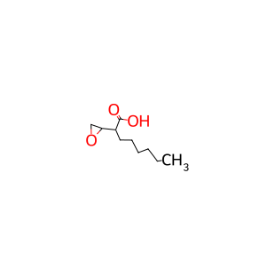 CCCCCCC(C(=O)O)C1CO1